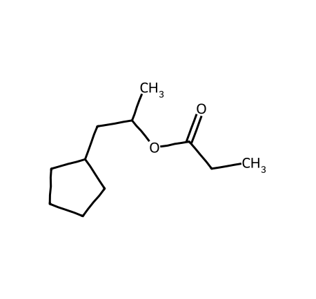 CCC(=O)OC(C)CC1CCCC1